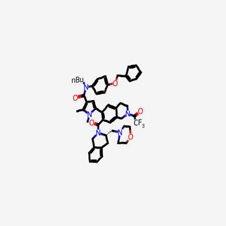 CCCCN(C(=O)c1cc(-c2cc3c(cc2C(=O)N2Cc4ccccc4C[C@H]2CN2CCOCC2)CN(C(=O)C(F)(F)F)CC3)n(C)c1C)c1ccc(OCc2ccccc2)cc1